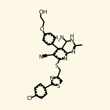 CC1=Nc2nc(SCc3csc(-c4ccc(Cl)cc4)n3)c(C#N)c(-c3ccc(OCCO)cc3)c2C(N)N1